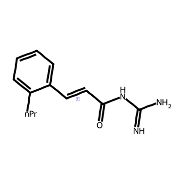 CCCc1ccccc1/C=C/C(=O)NC(=N)N